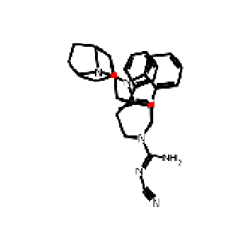 Cc1nc2ccccc2n1C1CC2CCC(C1)N2CCC1(c2ccccc2)CCN(/C(N)=N/C#N)CC1